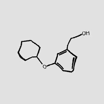 OCc1cccc(OC2CCCCC2)c1